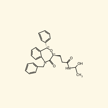 CC(O)NC(=O)CC[C@@H]1O[C@@H](c2ccccc2)c2ccccc2N(Cc2ccccc2)C1=O